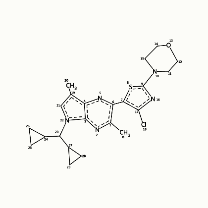 Cc1nc2c(nc1-c1sc(N3CCOCC3)nc1Cl)c(C)cn2C(C1CC1)C1CC1